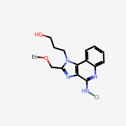 CCOCc1nc2c(NCl)nc3ccccc3c2n1CCCO